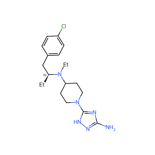 CC[C@@H](Cc1ccc(Cl)cc1)N(CC)C1CCN(c2nc(N)n[nH]2)CC1